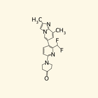 Cc1cn2cc(-c3ccc(N4CCC(=O)CC4)nc3C(F)F)cc(C)c2n1